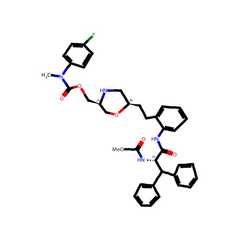 COC(=O)N[C@H](C(=O)Nc1ccccc1CC[C@@H]1CN[C@H](COC(=O)N(C)c2ccc(F)cc2)CO1)C(c1ccccc1)c1ccccc1